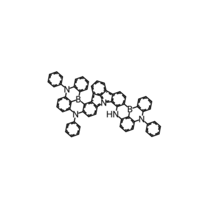 c1ccc(N2c3ccccc3B3c4ccc5c6cccc7c8c9c(ccc8n(c5c4Nc4cccc2c43)c67)N(c2ccccc2)c2cccc3c2B9c2ccccc2N3c2ccccc2)cc1